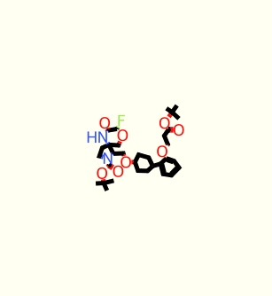 CC(C)(C)OC(=O)CCOc1ccccc1C1CCC(OCC2N(C(=O)OC(C)(C)C)CCC23COC(F)C(=O)N3)CC1